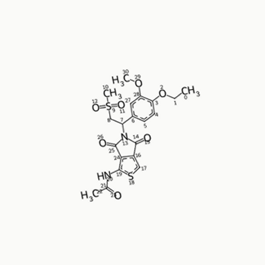 CCOc1ccc(C(CS(C)(=O)=O)N2C(=O)c3csc(NC(C)=O)c3C2=O)cc1OC